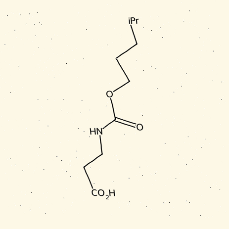 CC(C)CCCOC(=O)NCCC(=O)O